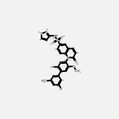 COc1cc(-c2cc(C)cc(F)c2)c(F)cc1-n1c(=O)ccc2cc(S(=O)(=O)Nc3ccon3)ccc21